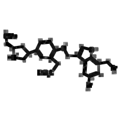 CCOC(=O)Cc1cc(C2CN[C@@H](COC)C2)ccc1OCc1coc2c(CBr)cc(Br)cc12